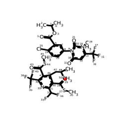 CC(C)OC(=O)c1cc(-n2c(=O)cc(C(F)(F)F)n(C)c2=O)ccc1Cl.CSC(=O)c1c(C(F)F)nc(C(F)(F)F)c(C(=O)SC)c1CC(C)C